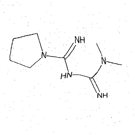 CN(C)C(=N)NC(=N)N1CCCC1